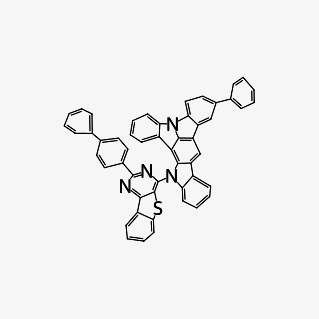 c1ccc(-c2ccc(-c3nc(-n4c5ccccc5c5cc6c7cc(-c8ccccc8)ccc7n7c8ccccc8c(c54)c67)c4sc5ccccc5c4n3)cc2)cc1